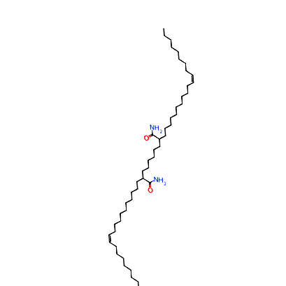 CCCCCCCC/C=C\CCCCCCCCCCC(CCCCCCC(CCCCCCCCCC/C=C\CCCCCCCC)C(N)=O)C(N)=O